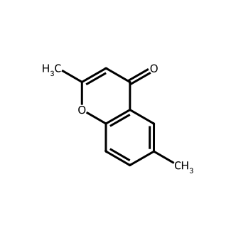 Cc1ccc2oc(C)cc(=O)c2c1